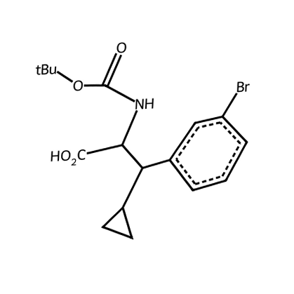 CC(C)(C)OC(=O)NC(C(=O)O)C(c1cccc(Br)c1)C1CC1